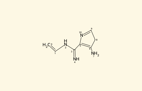 C=CNC(=N)C1=C(N)CC=N1